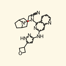 N#CCCN1C2CCC1CC(Nc1nc(Nc3cc(C4COC4)[nH]n3)cc3ncccc13)C2